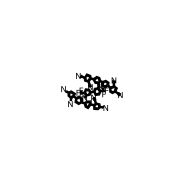 N#Cc1ccc(-c2ccc3c4ccc(-c5ccc(C#N)cc5C#N)cc4n(-c4cc(-c5ccc(C(F)(F)F)c(-n6c7cc(-c8ccc(C#N)cc8C#N)ccc7c7ccc(-c8ccc(C#N)cc8C#N)cc76)c5)ccc4C(F)(F)F)c3c2)c(C#N)c1